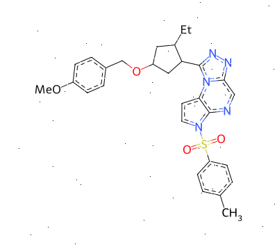 CCC1CC(OCc2ccc(OC)cc2)CC1c1nnc2cnc3c(ccn3S(=O)(=O)c3ccc(C)cc3)n12